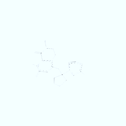 CCCc1cccc(C2(Cc3nc(=O)c(O)c4n3CCN(C(C)C)C4=O)CCCC2)c1